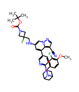 COc1ccc(CN2C3CC2CN(c2ccc(-c4cc(NCC5(F)CN(C(=O)OC(C)(C)C)C5)cn5ncc(C#N)c45)cn2)C3)cc1F